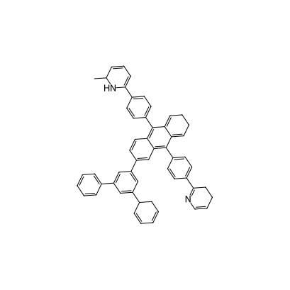 CC1C=CC=C(c2ccc(-c3c4c(c(-c5ccc(C6=NC=CCC6)cc5)c5cc(-c6cc(-c7ccccc7)cc(C7C=CC=CC7)c6)ccc35)=CCCC=4)cc2)N1